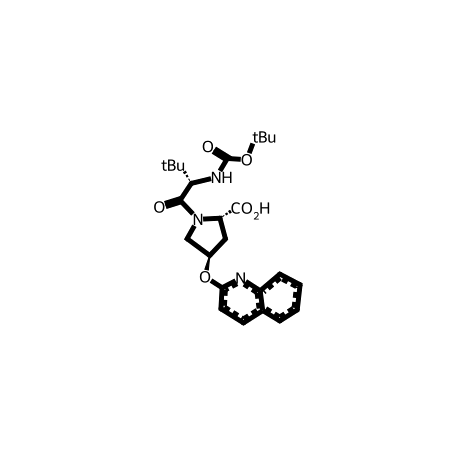 CC(C)(C)OC(=O)N[C@H](C(=O)N1C[C@H](Oc2ccc3ccccc3n2)C[C@H]1C(=O)O)C(C)(C)C